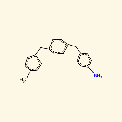 Cc1ccc(Cc2ccc(Cc3ccc(N)cc3)cc2)cc1